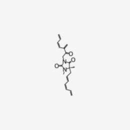 C=C/C=C\C=C\C[C@@]1(C)C(=O)N(CC(=O)C(=C)/C=C\C=C)C(=O)N1C